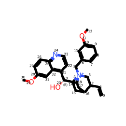 C=CC1C[N+]2(Cc3cccc(OC)c3)CCC1CC2[C@H](O)c1ccnc2ccc(OC)cc12